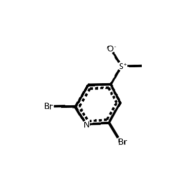 C[S+]([O-])c1cc(Br)nc(Br)c1